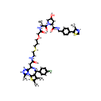 Cc1ncsc1-c1ccc(CNC(=O)[C@@H]2CC(O)CN2C(=O)[C@@H](NC(=O)COCCCSCCNC(=O)CC2N=C(c3ccc(Cl)cc3)c3c(sc(C)c3C)-n3c(C)nnc32)C(C)(C)C)cc1